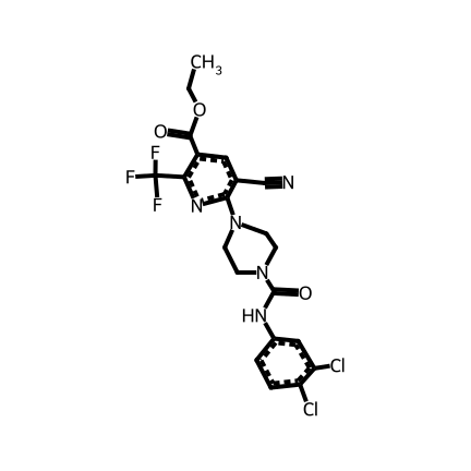 CCOC(=O)c1cc(C#N)c(N2CCN(C(=O)Nc3ccc(Cl)c(Cl)c3)CC2)nc1C(F)(F)F